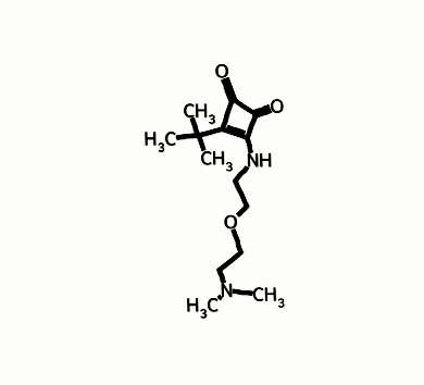 CN(C)CCOCCNc1c(C(C)(C)C)c(=O)c1=O